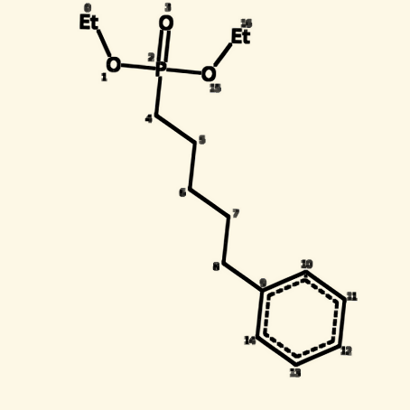 CCOP(=O)(CCCCCc1[c]cccc1)OCC